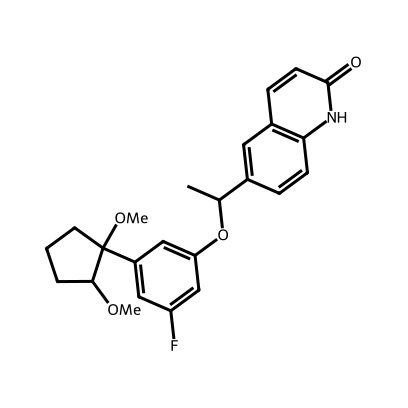 COC1CCCC1(OC)c1cc(F)cc(OC(C)c2ccc3[nH]c(=O)ccc3c2)c1